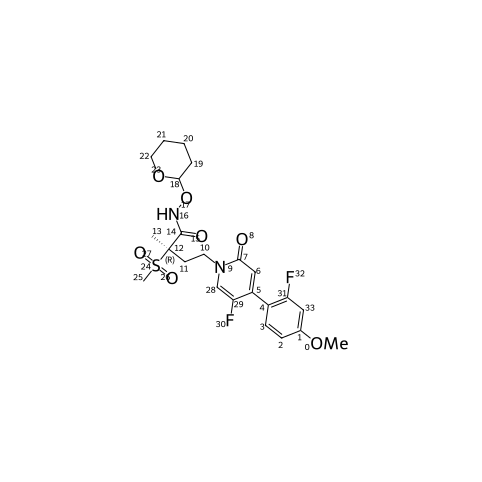 COc1ccc(-c2cc(=O)n(CC[C@](C)(C(=O)NOC3CCCCO3)S(C)(=O)=O)cc2F)c(F)c1